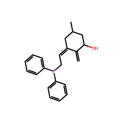 C=C1/C(=C\CP(c2ccccc2)c2ccccc2)CC(C)CC1O